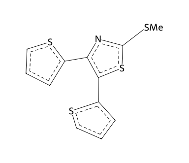 CSc1nc(-c2cccs2)c(-c2cccs2)s1